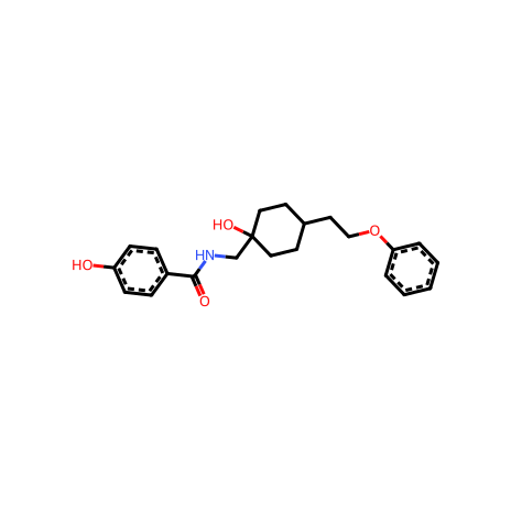 O=C(NCC1(O)CCC(CCOc2ccccc2)CC1)c1ccc(O)cc1